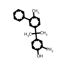 Cc1ccc(C(C)(C)c2ccc(O)c(P)c2)cc1-c1ccccc1